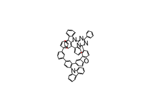 c1ccc(-c2cccc(-c3ccc(-n4c5ccccc5c5ccccc54)c(-c4ccc5oc6ccc(-c7nc(-c8ccccc8)nc(-n8c9ccccc9c9cccc(-c%10ccccc%10)c98)n7)cc6c5c4)c3)c2)cc1